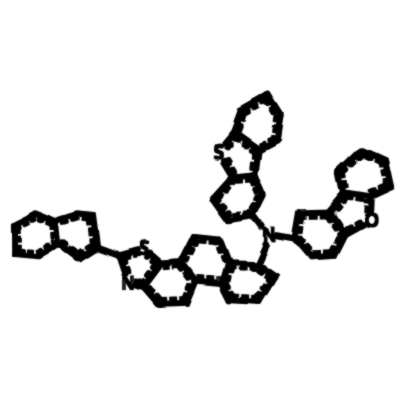 c1ccc2cc(-c3nc4ccc5c6cccc(N(c7ccc8oc9ccccc9c8c7)c7ccc8sc9ccccc9c8c7)c6ccc5c4s3)ccc2c1